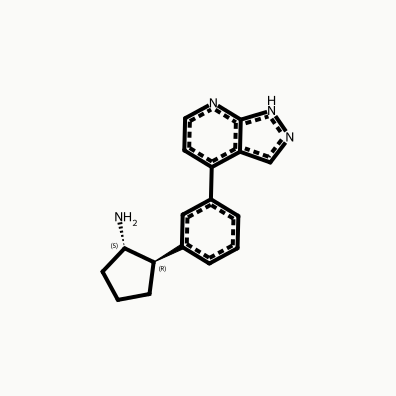 N[C@H]1CCC[C@@H]1c1cccc(-c2ccnc3[nH]ncc23)c1